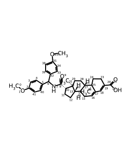 COc1ccc(C(NC(=O)[C@H]2CC[C@H]3[C@@H]4CC=C5C=C(C(=O)O)CC[C@]5(C)[C@H]4CC[C@]23C)c2ccc(OC)cc2)cc1